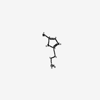 CCCc1ncc(Br)s1